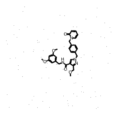 COCc1nn(Cc2ccc(Cn3ccccc3=O)cc2)cc1C(=O)NCc1cc(OC)cc(OC)c1